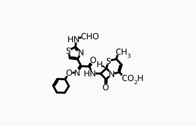 CC1C=C(C(=O)O)N2C(=O)C(NC(=O)C(=NOC3C=CCCC3)c3csc(NC=O)n3)[C@@H]2S1